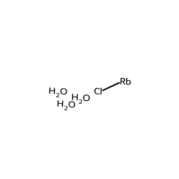 O.O.O.[Cl][Rb]